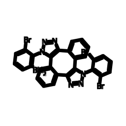 Bc1cccc(Br)c1-n1nnc2c1-c1ccccc1-c1nnn(-c3c(Br)cccc3Br)c1-c1ccccc1-2